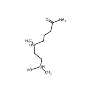 C[SiH](O)CC[SiH](C)CCCC(N)=O